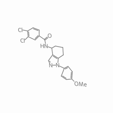 COc1ccc(-n2ncc3c2CCCC3NC(=O)c2ccc(Cl)c(Cl)c2)cc1